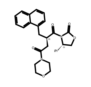 CC(C)[C@H]1COC(=O)N1C(=O)[C@@H](CC(=O)N1CCOCC1)Cc1cccc2ccccc12